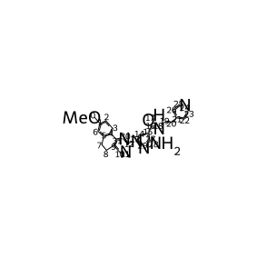 COc1ccc2c(c1)CCc1cnc(-n3cc(C(=O)NCCc4ccncc4)c(N)n3)nc1-2